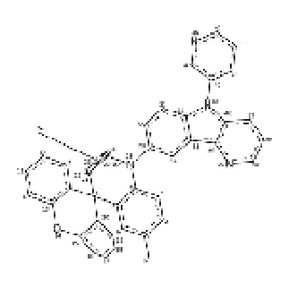 Cc1ccc2c(c1)C1(c3ccccc3Oc3ccccc31)c1cc(C)ccc1N2c1ccc2c(c1)c1ncccc1n2-c1cccnc1